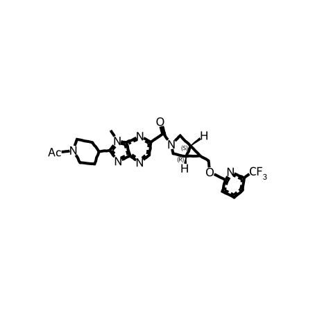 CC(=O)N1CCC(c2nc3ncc(C(=O)N4C[C@@H]5C(COc6cccc(C(F)(F)F)n6)[C@@H]5C4)nc3n2C)CC1